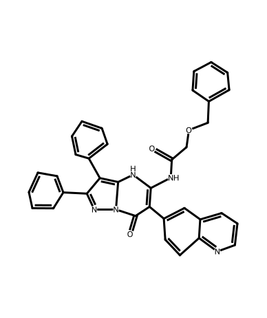 O=C(COCc1ccccc1)Nc1[nH]c2c(-c3ccccc3)c(-c3ccccc3)nn2c(=O)c1-c1ccc2ncccc2c1